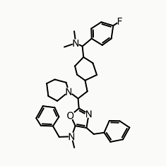 CN(Cc1ccccc1)c1oc(C(CC2CCC(C(c3ccc(F)cc3)N(C)C)CC2)N2CCCCC2)nc1Cc1ccccc1